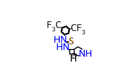 FC(F)(F)c1cc(NC(=S)NC2C[C@H]3CNCCC23)cc(C(F)(F)F)c1